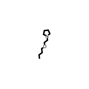 CCCCOCCN1CCCC1